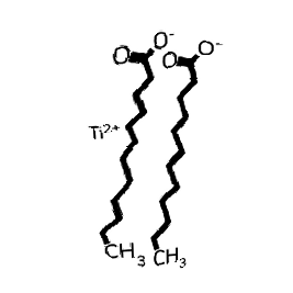 CCCCCCCCCCCC(=O)[O-].CCCCCCCCCCCC(=O)[O-].[Ti+2]